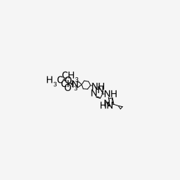 CC(C)(C)OC(=O)N1CC2(CCC(Nc3nccc(Nc4cc(C5CC5)[nH]n4)n3)CC2)C1